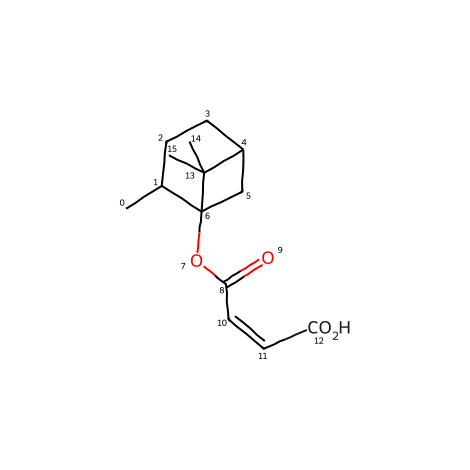 CC1CCC2CC1(OC(=O)/C=C\C(=O)O)C2(C)C